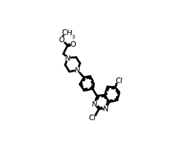 COC(=O)CN1CCN(c2ccc(-c3nc(Cl)nc4ccc(Cl)cc34)cc2)CC1